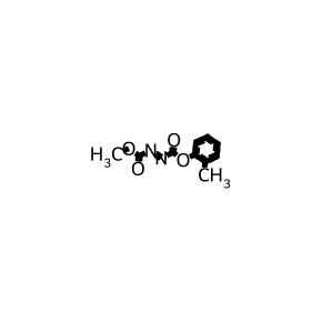 COC(=O)N=NC(=O)Oc1ccccc1C